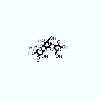 CC1OC(OC2C(OC3C(CO)OC(O)C(O)C3O)OC(CO)C(O)C2O)C(O)C(O)C1O